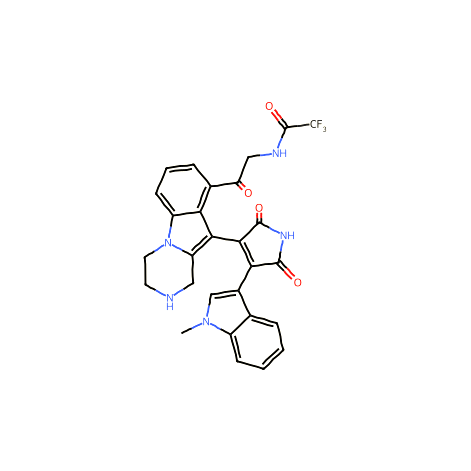 Cn1cc(C2=C(c3c4n(c5cccc(C(=O)CNC(=O)C(F)(F)F)c35)CCNC4)C(=O)NC2=O)c2ccccc21